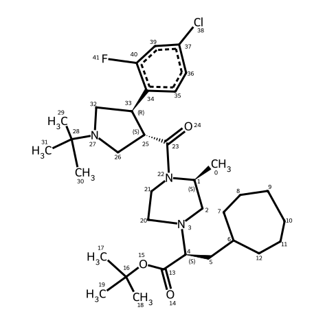 C[C@H]1CN([C@@H](CC2CCCCCC2)C(=O)OC(C)(C)C)CCN1C(=O)[C@@H]1CN(C(C)(C)C)C[C@H]1c1ccc(Cl)cc1F